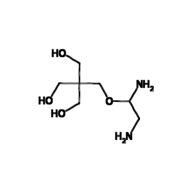 NCC(N)OCC(CO)(CO)CO